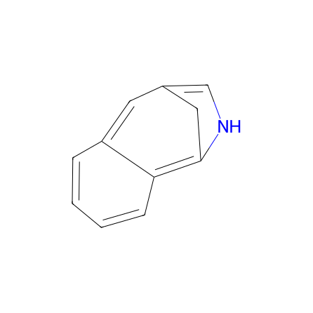 C1=C2C=c3ccccc3=C(C2)N1